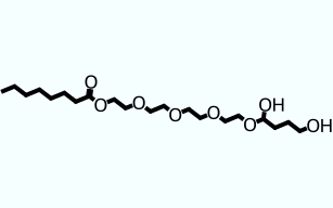 CCCCCCCC(=O)OCCOCCOCCOCCOC(O)CCCO